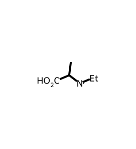 CC[N]C(C)C(=O)O